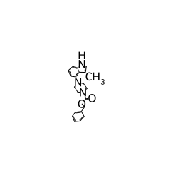 Cc1c[nH]c2cccc(N3CCN(C(=O)OCc4ccccc4)CC3)c12